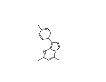 CC1=CCC(c2ccn3c(C)cc(C)nc23)C=C1